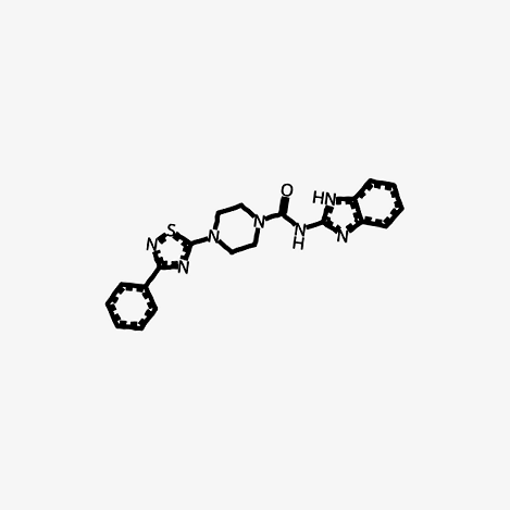 O=C(Nc1nc2ccccc2[nH]1)N1CCN(c2nc(-c3ccccc3)ns2)CC1